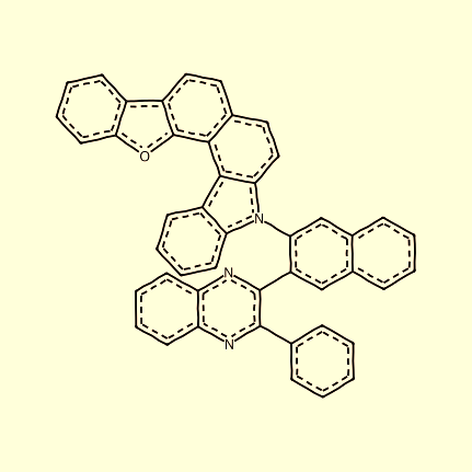 c1ccc(-c2nc3ccccc3nc2-c2cc3ccccc3cc2-n2c3ccccc3c3c4c(ccc5c6ccccc6oc54)ccc32)cc1